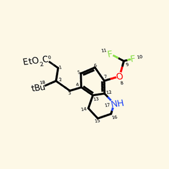 CCOC(=O)CC(Cc1ccc(OC(F)F)c2c1CCCN2)C(C)(C)C